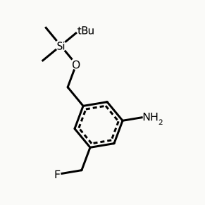 CC(C)(C)[Si](C)(C)OCc1cc(N)cc(CF)c1